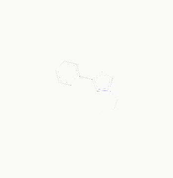 CCOC(=O)Cn1ccc(-c2ccccc2)c1